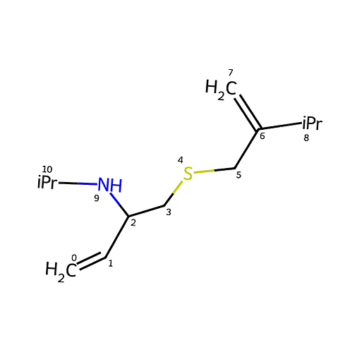 C=CC(CSCC(=C)C(C)C)NC(C)C